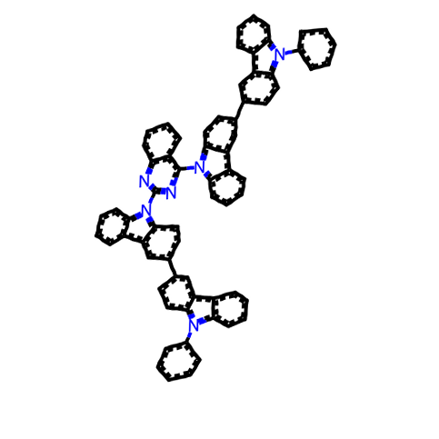 c1ccc(-n2c3ccccc3c3cc(-c4ccc5c(c4)c4ccccc4n5-c4nc(-n5c6ccccc6c6cc(-c7ccc8c(c7)c7ccccc7n8-c7ccccc7)ccc65)c5ccccc5n4)ccc32)cc1